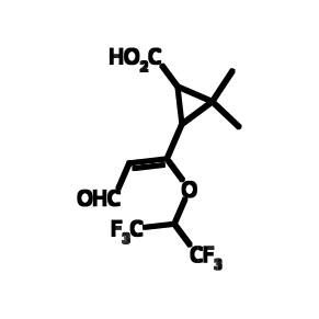 CC1(C)C(C(=O)O)C1C(=CC=O)OC(C(F)(F)F)C(F)(F)F